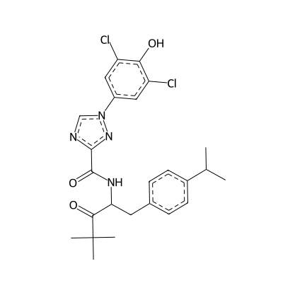 CC(C)c1ccc(CC(NC(=O)c2ncn(-c3cc(Cl)c(O)c(Cl)c3)n2)C(=O)C(C)(C)C)cc1